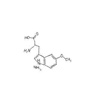 COc1ccc2[nH]cc(CC(N)C(=O)O)c2c1.N